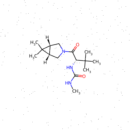 CNC(=O)N[C@H](C(=O)N1C[C@@H]2[C@H](C1)C2(C)C)C(C)(C)C